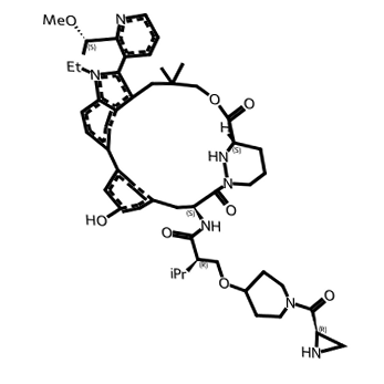 CCn1c(-c2cccnc2[C@H](C)OC)c2c3cc(ccc31)-c1cc(O)cc(c1)C[C@H](NC(=O)[C@@H](COC1CCN(C(=O)[C@H]3CN3)CC1)C(C)C)C(=O)N1CCC[C@H](N1)C(=O)OCC(C)(C)C2